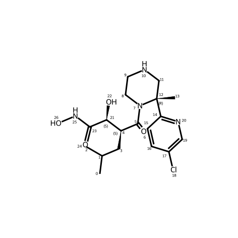 CC(C)C[C@H](C(=O)N1CCNC[C@]1(C)c1ccc(Cl)cn1)[C@H](O)C(=O)NO